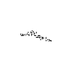 CNCCNC(=O)Cn1cc2cc(NC(=O)c3cccc(-c4ccc(OC)nc4)n3)ccc2n1